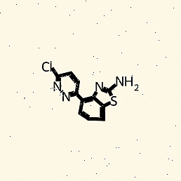 Nc1nc2c(-c3ccc(Cl)nn3)cccc2s1